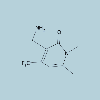 Cc1cc(C(F)(F)F)c(CN)c(=O)n1C